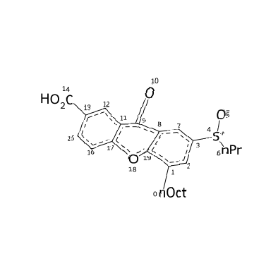 CCCCCCCCc1cc([S+]([O-])CCC)cc2c(=O)c3cc(C(=O)O)ccc3oc12